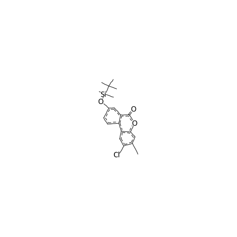 Cc1cc2oc(=O)c3cc(O[Si](C)(C)C(C)(C)C)ccc3c2cc1Cl